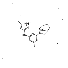 Cc1cc(Nc2cc(C)[nH]n2)nc(N2CC3CCC(C2)N3)n1